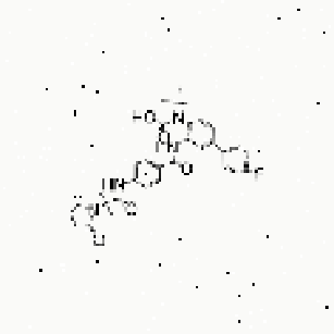 CC(C)(C)N(C(=O)O)c1ccc(-c2ccc(F)cc2)cc1NC(=O)c1ccc(NC(=O)C(C)(C)N2CCCC2=O)cc1